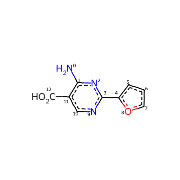 Nc1nc(-c2ccco2)ncc1C(=O)O